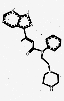 C/C(=C\C(=O)N(CCN1CCNCC1)c1ccccc1)c1n[nH]c2ncccc12